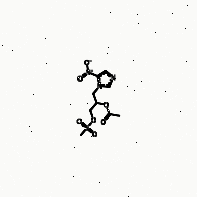 CC(=O)OC(COS(C)(=O)=O)Cn1cncc1[N+](=O)[O-]